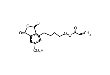 C=CC(=O)OOCCCCc1cc(C(=O)O)cc2c1C(=O)OC2=O